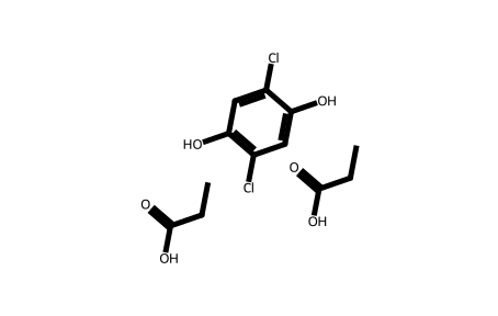 CCC(=O)O.CCC(=O)O.Oc1cc(Cl)c(O)cc1Cl